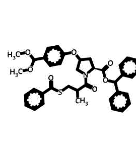 COC(OC)c1ccc(OC2C[C@@H](C(=O)OC(c3ccccc3)c3ccccc3)N(C(=O)C(C)CSC(=O)c3ccccc3)C2)cc1